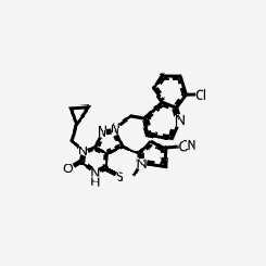 Cn1cc(C#N)cc1-c1c2c(=S)[nH]c(=O)n(CC3CC3)c2nn1Cc1ccnc2c(Cl)cccc12